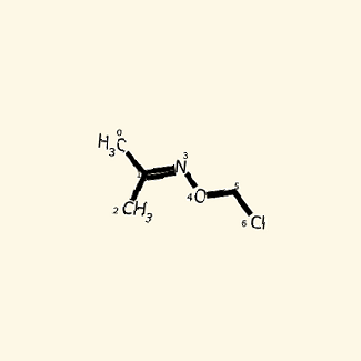 CC(C)=NOCCl